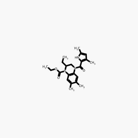 CCOC(=O)N1c2cc(C)c(C)cc2N(C(=O)c2[nH]c(C)cc2C)CC1CC